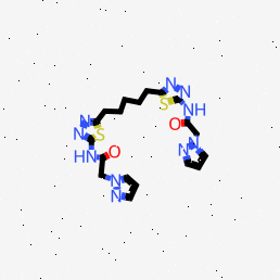 O=C(Cn1cccn1)Nc1nnc(CCCCCc2nnc(NC(=O)Cn3cccn3)s2)s1